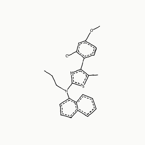 CCCN(c1nc(-c2ccc(OC)cc2Cl)c(C)s1)c1cccc2ccccc12